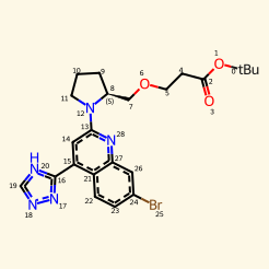 CC(C)(C)OC(=O)CCOC[C@@H]1CCCN1c1cc(-c2nnc[nH]2)c2ccc(Br)cc2n1